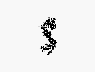 CCCN(Cc1nc2ccc3cc(-c4ccc5cc(-c6c[nH]c(CN(CCC)C(=O)C(NC(=O)OC)c7cccnc7)n6)ccc5c4)ccc3c2[nH]1)C(=O)CNC(=O)OC